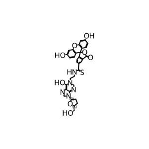 O=C1OC2(c3ccc(O)cc3Oc3cc(O)ccc32)c2ccc(C(=S)NCCN3CN=c4c(ncn4[C@H]4CC[C@@H](CO)O4)=C3O)cc21